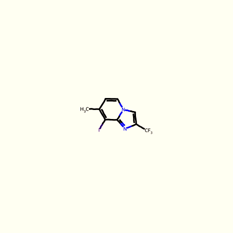 Cc1ccn2cc(C(F)(F)F)nc2c1I